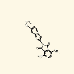 COc1ccc2nc(N3C(=O)c4c(C)ccc(C)c4C3=O)sc2c1